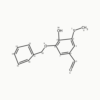 CSc1cc(C=O)cc(OCc2ccccc2)c1O